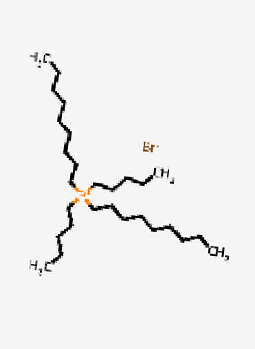 CCCCCCCCC[P+](CCCCC)(CCCCC)CCCCCCCCC.[Br-]